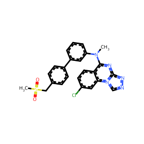 CN(c1cccc(-c2ccc(CS(C)(=O)=O)cc2)c1)c1nc2nncn2c2cc(Cl)ccc12